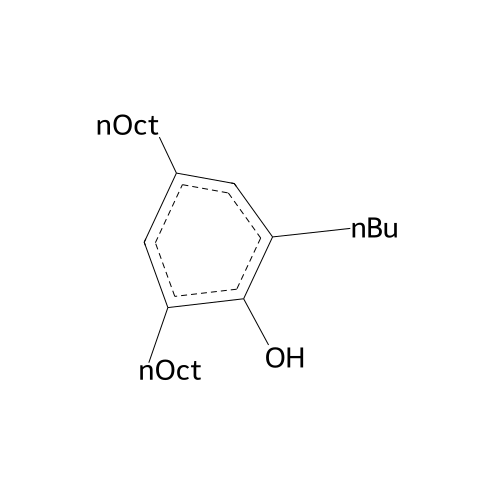 CCCCCCCCc1cc(CCCC)c(O)c(CCCCCCCC)c1